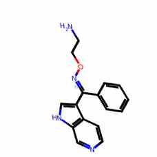 NCCO/N=C(\c1ccccc1)c1c[nH]c2cnccc12